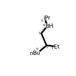 CCCCC(CC)CBC(C)C